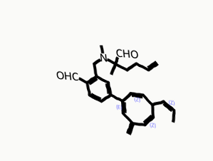 C=CCCC(C)(C=O)N(C)Cc1cc(C2=C/C(=C)/C=C\C(/C=C\C)/C=C\2)ccc1C=O